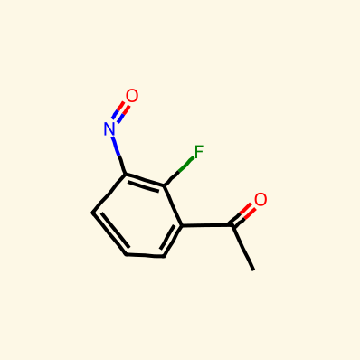 CC(=O)c1cccc(N=O)c1F